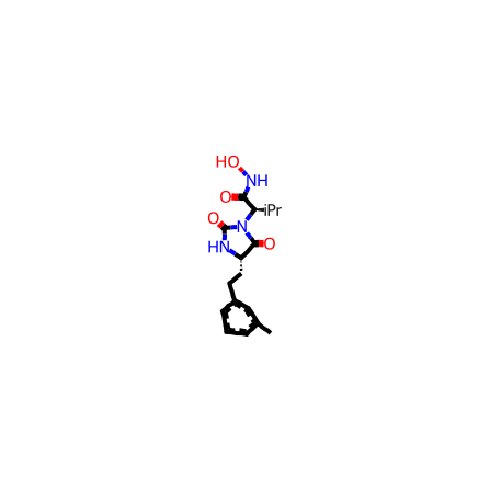 Cc1cccc(CC[C@@H]2NC(=O)N([C@@H](C(=O)NO)C(C)C)C2=O)c1